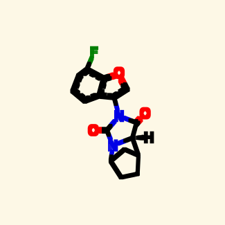 O=C1[C@@H]2C3CCC(C3)N2C(=O)N1c1coc2c(F)cccc12